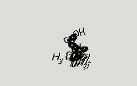 C[C@H]1CC[C@H]2[C@H](C1)c1c(c3ccccc3c3nc4cc(C(=O)N5CCC(O)CC5)ccc4nc13)OC2(C)C